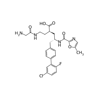 Cc1cnc(C(=O)N[C@H](Cc2ccc(-c3cc(Cl)ccc3F)cc2)C[C@@H](CCNC(=O)CN)C(=O)O)o1